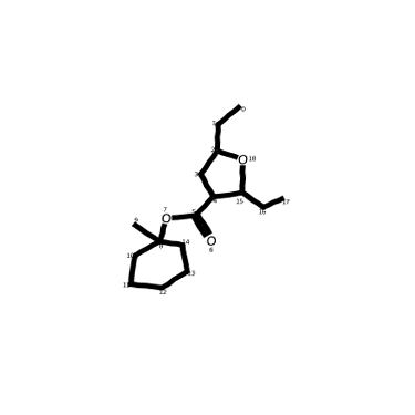 CCC1CC(C(=O)OC2(C)CCCCC2)C(CC)O1